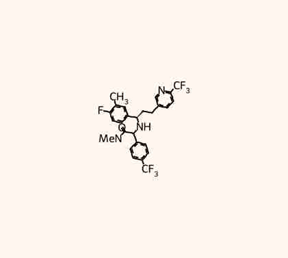 CNC(=O)C(N[C@H](CCc1ccc(C(F)(F)F)nc1)c1ccc(F)c(C)c1)c1ccc(C(F)(F)F)cc1